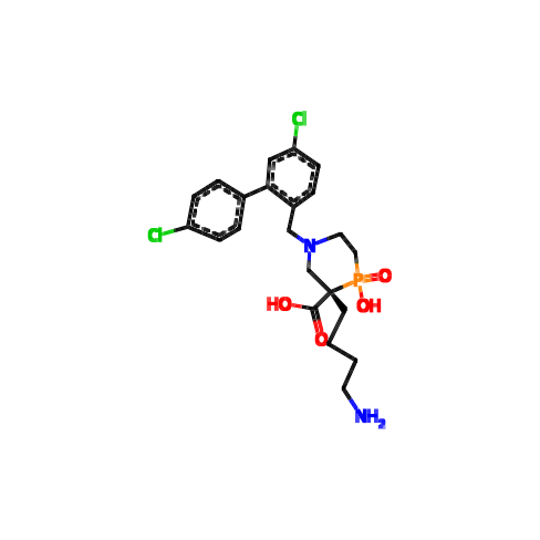 NCCCC[C@@]1(C(=O)O)CN(Cc2ccc(Cl)cc2-c2ccc(Cl)cc2)CCP1(=O)O